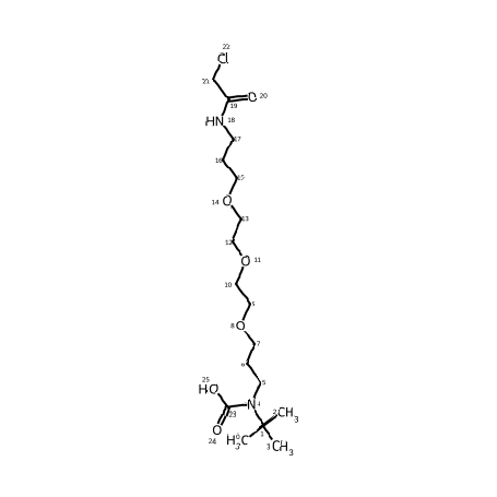 CC(C)(C)N(CCCOCCOCCOCCCNC(=O)CCl)C(=O)O